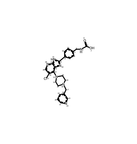 O=C(O)NCc1ccc(-c2nc3c(N4CCN(Cc5cccnc5)CC4)c(Cl)cnc3[nH]2)cc1